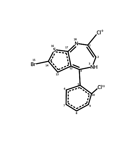 ClC1=CNC(c2ccccc2Cl)=c2cc(Br)sc2=N1